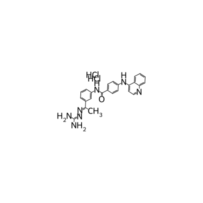 C/C(=N\N=C(N)N)c1cccc(NC(=O)c2ccc(Nc3ccnc4ccccc34)cc2)c1.Cl.Cl